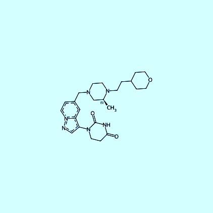 C[C@H]1CN(Cc2ccn3ncc(N4CCC(=O)NC4=O)c3c2)CCN1CCC1CCOCC1